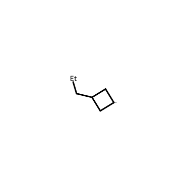 CCCC1C[CH]C1